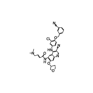 CN(C)CC=CC(=O)Nc1cc2c(Nc3ccc(OCc4cccc(C#N)c4)c(Cl)c3)c(C#N)cnc2cc1O[C@H]1CCOC1